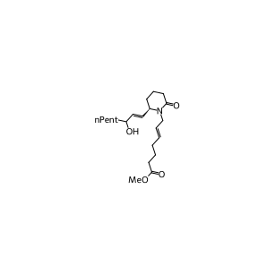 CCCCCC(O)C=C[C@H]1CCCC(=O)N1CC=CCCCC(=O)OC